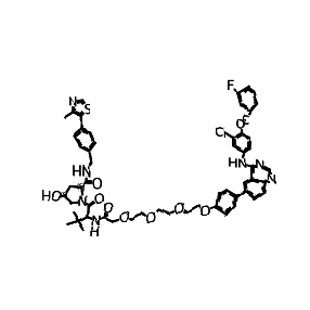 Cc1ncsc1-c1ccc(CNC(=O)[C@@H]2C[C@H](O)CN2C(=O)C(NC(=O)COCCOCCOCCOc2ccc(-c3ccc4ncnc(Nc5ccc(OCc6cccc(F)c6)c(Cl)c5)c4c3)cc2)C(C)(C)C)cc1